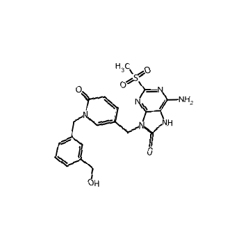 CS(=O)(=O)c1nc(N)c2[nH]c(=O)n(Cc3ccc(=O)n(Cc4cccc(CO)c4)c3)c2n1